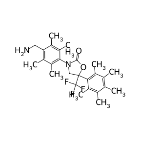 Cc1c(C)c(C)c(C2(C(F)(F)F)CN(c3c(C)c(C)c(CN)c(C)c3C)C(=O)O2)c(C)c1C